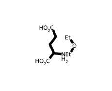 CCOCC.NC(CCC(=O)O)C(=O)O